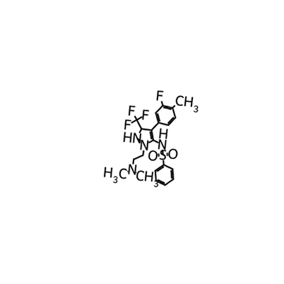 Cc1ccc(C2=C(NS(=O)(=O)c3ccccc3)N(CCN(C)C)NC2C(F)(F)F)cc1F